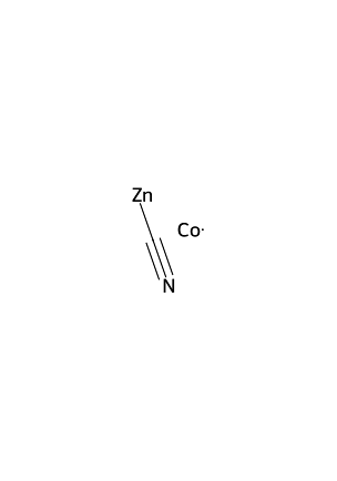 N#[C][Zn].[Co]